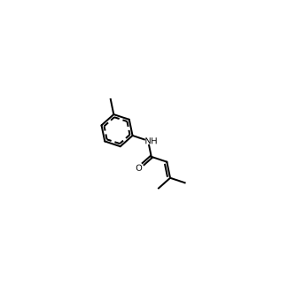 CC(C)=CC(=O)Nc1cccc(C)c1